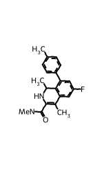 CNC(=O)C1=C(C)c2cc(F)cc(-c3ccc(C)cc3)c2C(C)N1